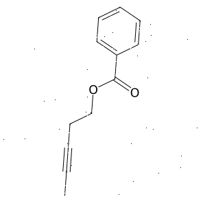 CC#CCCOC(=O)c1ccccc1